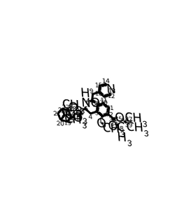 COc1c(CC(NC(=O)Cc2ccncc2)B2OC3CC4CC(C4(C)C)C3(C)O2)cccc1C(=O)OC(C)(C)C